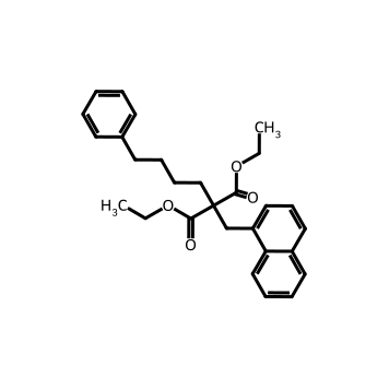 CCOC(=O)C(CCCCc1ccccc1)(Cc1cccc2ccccc12)C(=O)OCC